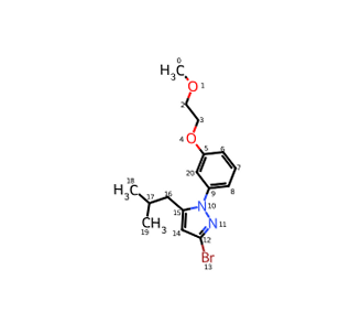 COCCOc1cccc(-n2nc(Br)cc2CC(C)C)c1